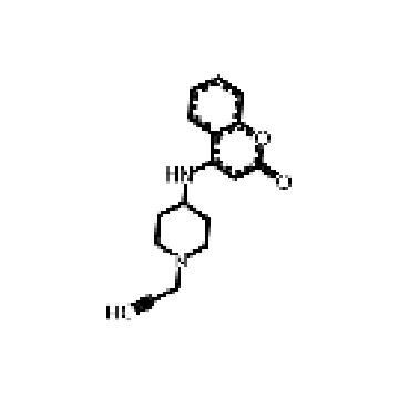 C#CCN1CCC(Nc2cc(=O)oc3ccccc23)CC1